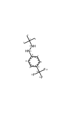 CC(C)(C)NNc1ccc(C(F)(F)F)cc1